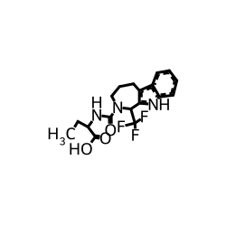 CCC(NC(=O)N1CCCc2c([nH]c3ccccc23)C1C(F)(F)F)C(=O)O